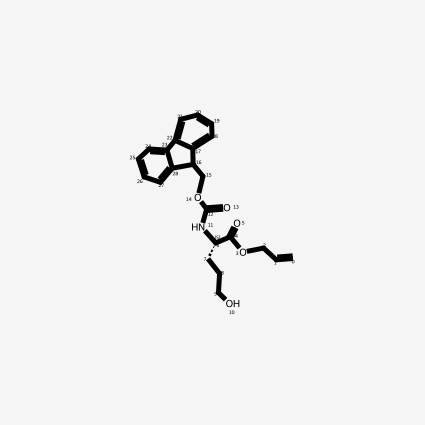 C=CCOC(=O)[C@H](CCCO)NC(=O)OCC1c2ccccc2-c2ccccc21